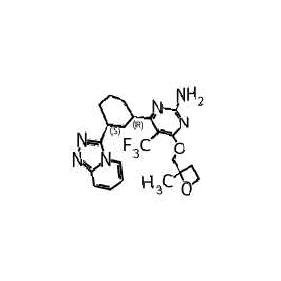 CC1(COc2nc(N)nc([C@@H]3CCC[C@H](c4nnc5ccccn45)C3)c2C(F)(F)F)CCO1